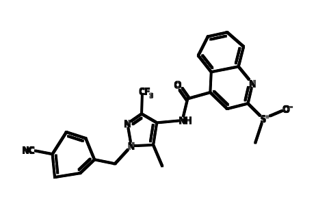 Cc1c(NC(=O)c2cc([S+](C)[O-])nc3ccccc23)c(C(F)(F)F)nn1Cc1ccc(C#N)cc1